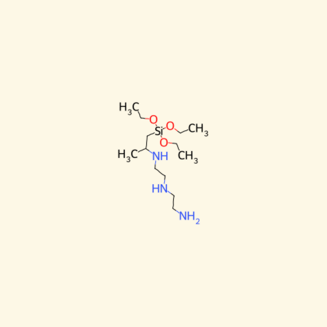 CCO[Si](CC(C)NCCNCCN)(OCC)OCC